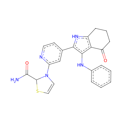 NC(=O)C1SC=CN1c1cc(-c2[nH]c3c(c2Nc2ccccc2)C(=O)CCC3)ccn1